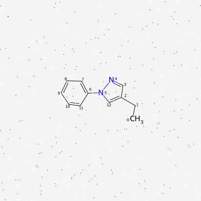 CCc1cnn(-c2ccccc2)c1